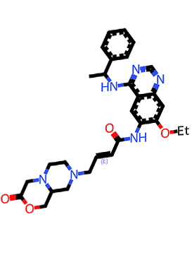 CCOc1cc2ncnc(NC(C)c3ccccc3)c2cc1NC(=O)/C=C/CN1CCN2CC(=O)OCC2C1